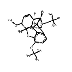 [2H]OC1C=C[C@H]2[C@@H]3N(C([2H])([2H])[2H])CC[C@@]24c2c(ccc(OC([2H])([2H])[2H])c2OC14[2H])C3([2H])[2H]